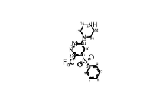 O=S(=O)(c1ccccc1)c1cc(N2CCNCC2)nnc1C(F)(F)F